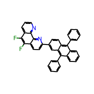 Fc1c(F)c2ccc(-c3ccc4c(-c5ccccc5)c5ccccc5c(-c5ccccc5)c4c3)nc2c2ncccc12